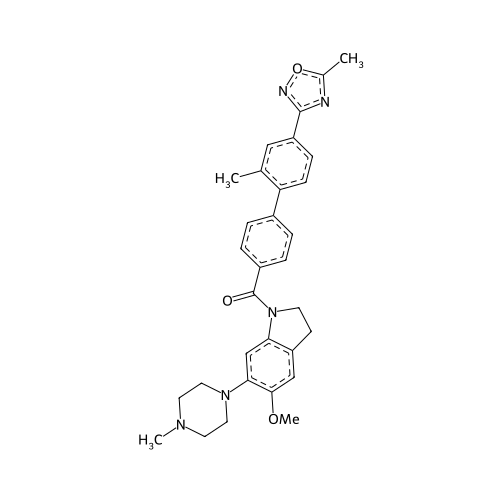 COc1cc2c(cc1N1CCN(C)CC1)N(C(=O)c1ccc(-c3ccc(-c4noc(C)n4)cc3C)cc1)CC2